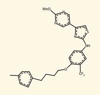 COc1ncc(-c2csc(Nc3ccc(OCCCCc4ccc(C)cc4)c(C(F)(F)F)c3)n2)cn1